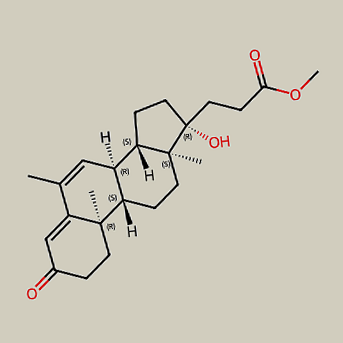 COC(=O)CC[C@]1(O)CC[C@H]2[C@@H]3C=C(C)C4=CC(=O)CC[C@]4(C)[C@H]3CC[C@@]21C